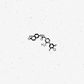 C[C@@H]1CN(CC(=O)Nc2ccc3[nH]c(=O)ccc3c2)CCN1c1cc(F)c(Cl)c(F)c1